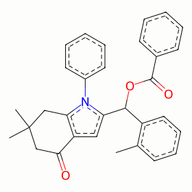 Cc1ccccc1C(OC(=O)c1ccccc1)c1cc2c(n1-c1ccccc1)CC(C)(C)CC2=O